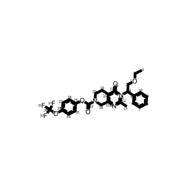 CCOCC(c1ccccc1)n1c(C)nc2c(c1=O)CCN(C(=O)Oc1ccc(OC(F)(F)F)cc1)C2